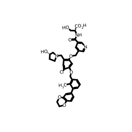 Cc1c(COc2cc(OCc3cncc(C(=O)N[C@@H](CO)C(=O)O)c3)c(CN3CC[C@H](O)C3)cc2Cl)cccc1-c1ccc2c(c1)OCCO2